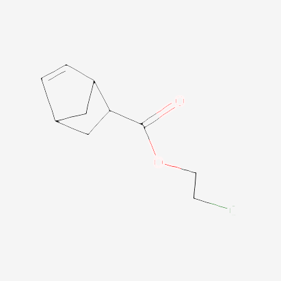 O=C(OCCCl)C1CC2C=CC1C2